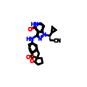 N#CC[C@@H](C1CC1)n1nc(Nc2ccc3c(c2)CC2(CCCC2)S3(=O)=O)c2c(=O)[nH]ccc21